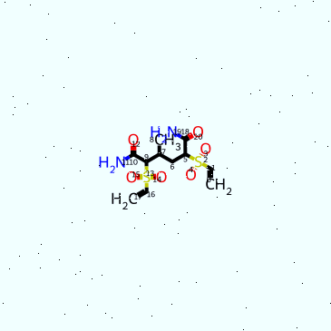 C=CS(=O)(=O)C(CC(C)C(C(N)=O)S(=O)(=O)C=C)C(N)=O